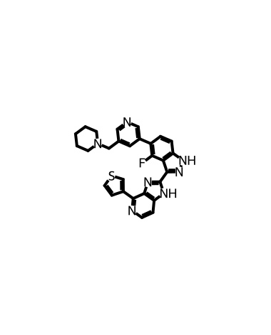 Fc1c(-c2cncc(CN3CCCCC3)c2)ccc2[nH]nc(-c3nc4c(-c5ccsc5)nccc4[nH]3)c12